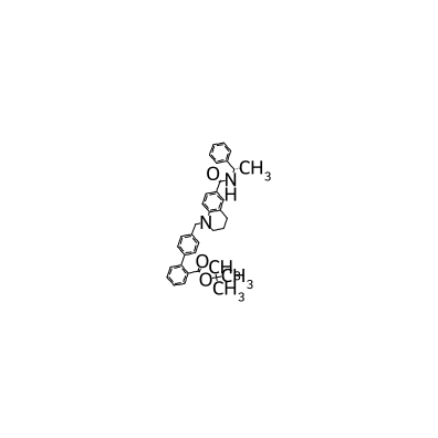 C[C@H](NC(=O)c1ccc2c(c1)CCCN2Cc1ccc(-c2ccccc2C(=O)OC(C)(C)C)cc1)c1ccccc1